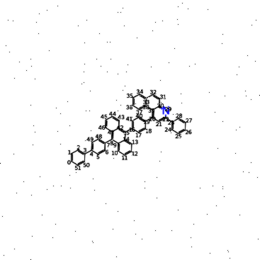 c1ccc(-c2ccc(-c3c4ccccc4c(-c4ccc(-c5cc(-c6ccccc6)nc6ccc7ccccc7c56)cc4)c4ccccc34)cc2)cc1